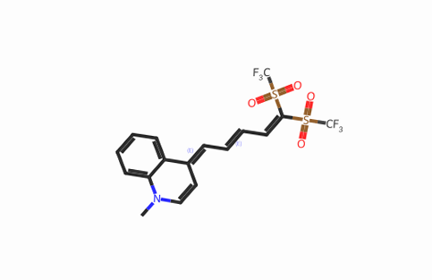 CN1C=C/C(=C\C=C\C=C(S(=O)(=O)C(F)(F)F)S(=O)(=O)C(F)(F)F)c2ccccc21